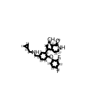 Cn1cc(-c2cc(CNCC3CC3)ccc2Oc2ccc(F)cc2F)c2cc[nH]c(=O)c21